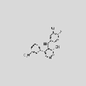 N#Cc1cncc(-c2cccc([N+](=O)[O-])c2)c1Nc1ccc(F)c(Cl)c1